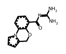 NC(N)=NC(=O)c1cccc2c1OCc1cccn1-2